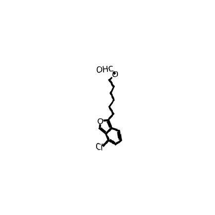 O=COCCCCCCc1occ2c(Cl)cccc12